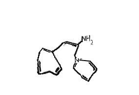 NC(=Cc1ccccc1)[n+]1ccccc1